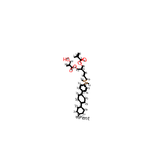 C=C(C)C(=O)OCC(CCCS(C)(C)c1ccc(C2CCC(C3CCC(CCCCC)CC3)CC2)cc1)COC(=O)C(=C)CO